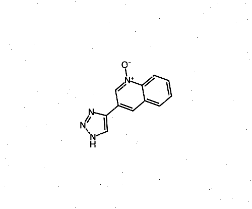 [O-][n+]1cc(-c2c[nH]nn2)cc2ccccc21